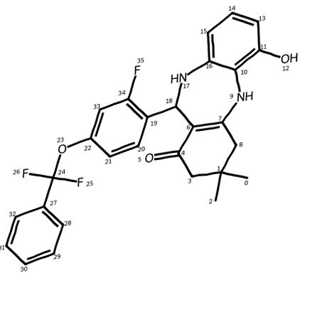 CC1(C)CC(=O)C2=C(C1)Nc1c(O)cccc1NC2c1ccc(OC(F)(F)c2ccccc2)cc1F